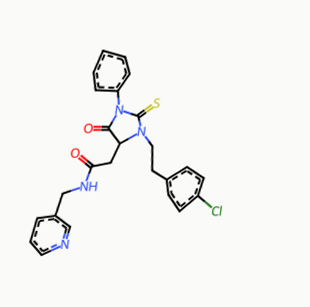 O=C(CC1C(=O)N(c2ccccc2)C(=S)N1CCc1ccc(Cl)cc1)NCc1cccnc1